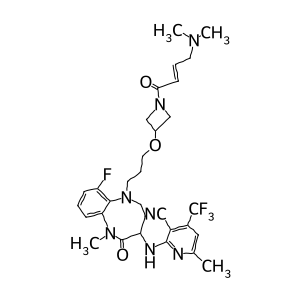 Cc1cc(C(F)(F)F)c(C#N)c(NC2CCN(CCCOC3CN(C(=O)C=CCN(C)C)C3)c3c(F)cccc3N(C)C2=O)n1